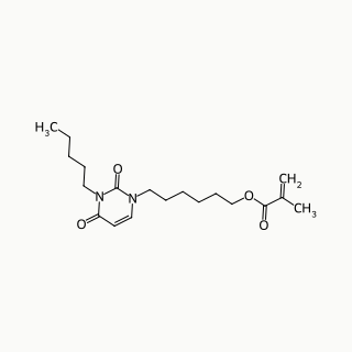 C=C(C)C(=O)OCCCCCCn1ccc(=O)n(CCCCC)c1=O